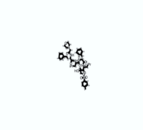 Cc1ccc(S(=O)(=O)OCC(C)(O)C(=O)C(CC(C)C)NC(=O)[C@H](Cc2ccccc2)NC(=O)C(CC(C)C)NC(=O)[C@H](CCc2ccccc2)NC(=O)CN2CCOCC2)cc1